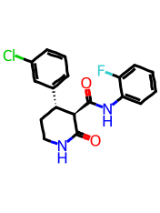 O=C1NCC[C@H](c2cccc(Cl)c2)[C@H]1C(=O)Nc1ccccc1F